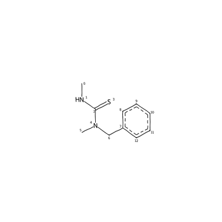 CNC(=S)N(C)Cc1ccccc1